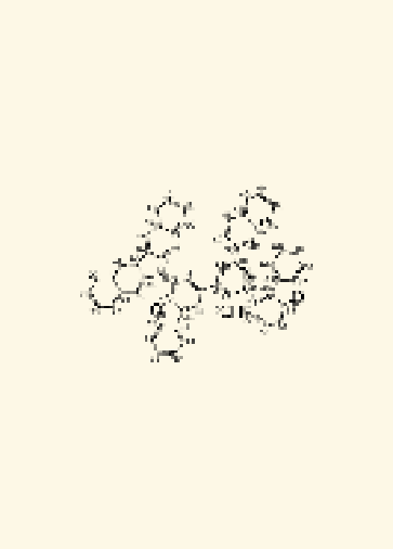 Cc1c(-c2cc(-n3c4cc5ccccc5cc4c4cc5ccccc5cc43)c3oc4ccccc4c3c2)nc(-c2ccc3ccccc3c2)nc1-c1cccc2oc3ccccc3c12